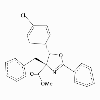 COC(=O)[C@@]1(Cc2ccccc2)N=C(c2ccccc2)O[C@H]1C1C=CC(Cl)=CC1